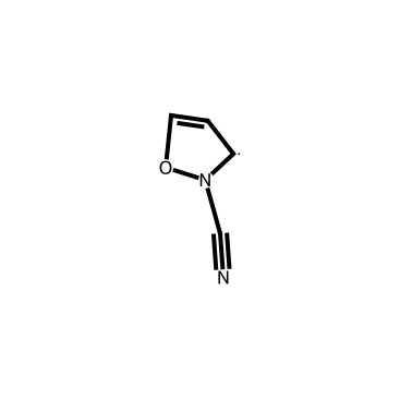 N#CN1[CH]C=CO1